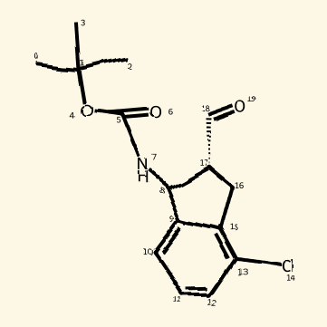 CC(C)(C)OC(=O)NC1c2cccc(Cl)c2C[C@H]1C=O